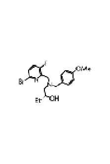 CC[C@@H](O)CN(Cc1ccc(OC)cc1)Cc1nc(Br)ccc1F